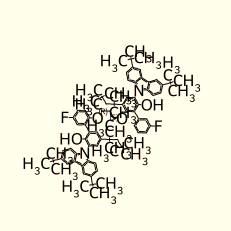 C[C@H](C[C@H](C)Oc1c(C(C)(C)CC(C)(C)C)cc(-n2c3ccc(C(C)(C)C)cc3c3cc(C(C)(C)C)ccc32)c(O)c1-c1cccc(F)c1)Oc1ccc(F)cc1-c1cc(C(C)(C)CC(C)(C)C)cc(-n2c3ccc(C(C)(C)C)cc3c3cc(C(C)(C)C)ccc32)c1O